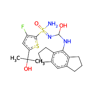 CC(C)(O)c1cc(F)c(S(N)(=O)=NC(O)Nc2c3c(cc4c2CCC4)CCC3)s1